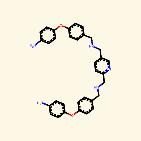 Nc1ccc(Oc2ccc(CNCc3ccc(CNCc4ccc(Oc5ccc(N)cc5)cc4)nc3)cc2)cc1